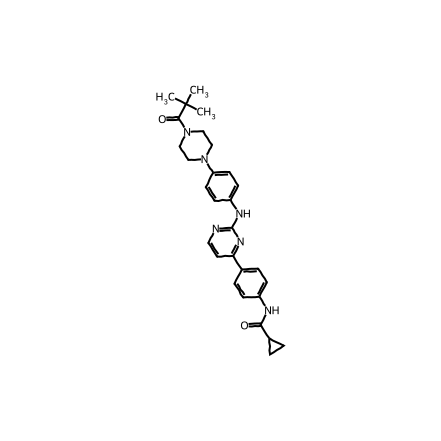 CC(C)(C)C(=O)N1CCN(c2ccc(Nc3nccc(-c4ccc(NC(=O)C5CC5)cc4)n3)cc2)CC1